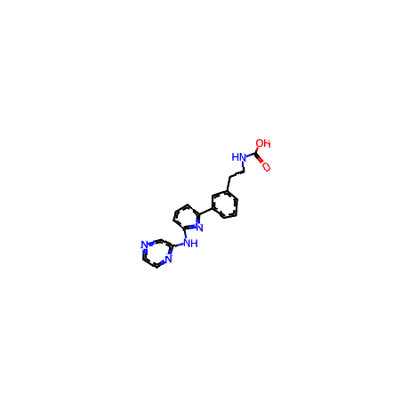 O=C(O)NCCc1cccc(-c2cccc(Nc3cnccn3)n2)c1